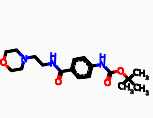 CC(C)(C)OC(=O)Nc1ccc(C(=O)NCCN2CCOCC2)cc1